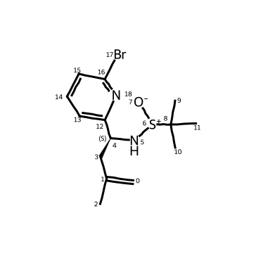 C=C(C)C[C@H](N[S+]([O-])C(C)(C)C)c1cccc(Br)n1